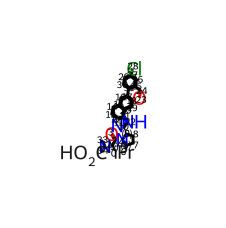 CC(C)[C@@H](C(=O)N1[C@@H](C)CC[C@H]1c1nc2ccc3cc4c(cc3c2[nH]1)OCc1cc(Cl)ccc1-4)N(C)C(=O)O